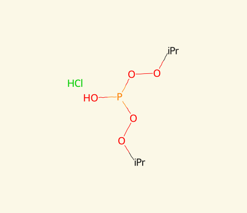 CC(C)OOP(O)OOC(C)C.Cl